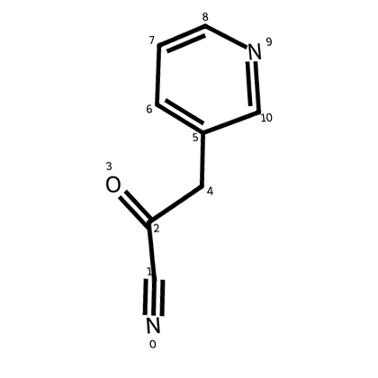 N#CC(=O)Cc1cccnc1